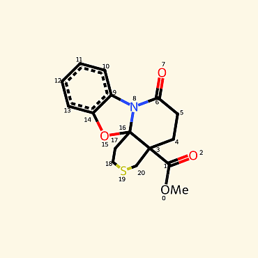 COC(=O)C12CCC(=O)N3c4ccccc4OC31CCSC2